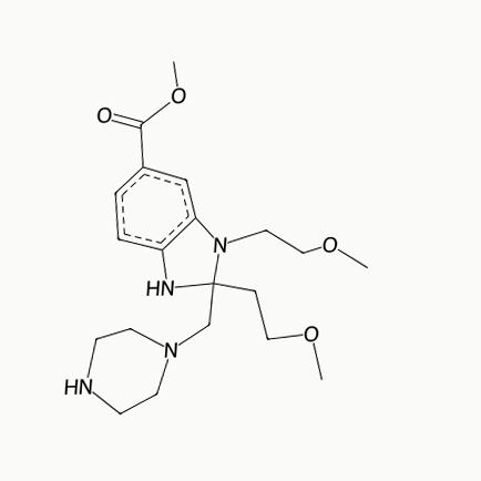 COCCN1c2cc(C(=O)OC)ccc2NC1(CCOC)CN1CCNCC1